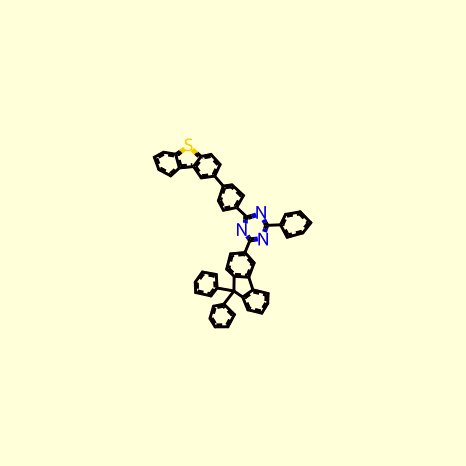 c1ccc(-c2nc(-c3ccc(-c4ccc5sc6ccccc6c5c4)cc3)nc(-c3ccc4c(c3)-c3ccccc3C4(c3ccccc3)c3ccccc3)n2)cc1